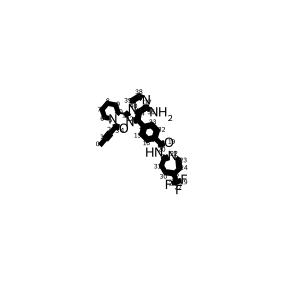 CC#CC(=O)N1CCCC[C@H]1c1nc(-c2ccc(C(=O)NC3=NC=CC(C(F)(F)F)=CC3)cc2)c2c(N)nccn12